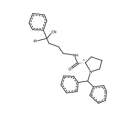 CC(C)C(C#N)(CCCNC(=O)[C@@H]1CCCN1C(c1ccccc1)c1ccccc1)c1ccccc1